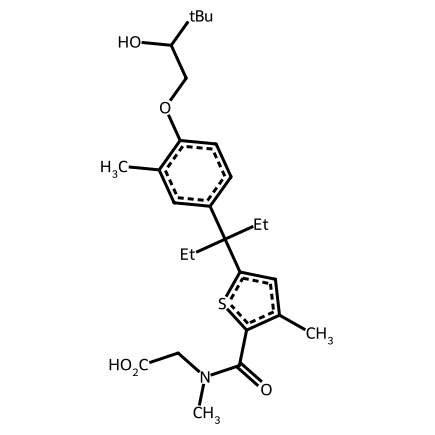 CCC(CC)(c1ccc(OCC(O)C(C)(C)C)c(C)c1)c1cc(C)c(C(=O)N(C)CC(=O)O)s1